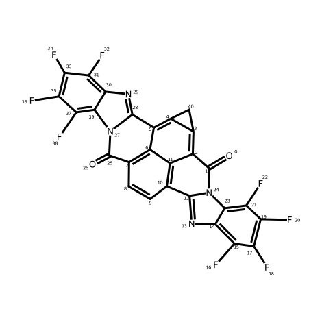 O=c1c2c3c(c4c5c(ccc(c25)c2nc5c(F)c(F)c(F)c(F)c5n12)c(=O)n1c4nc2c(F)c(F)c(F)c(F)c21)C3